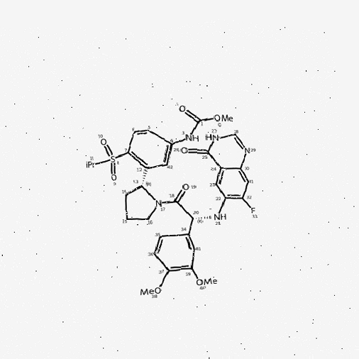 COC(=O)Nc1ccc(S(=O)(=O)C(C)C)c([C@H]2CCCN2C(=O)[C@H](Nc2cc3c(=O)[nH]cnc3cc2F)c2ccc(OC)c(OC)c2)c1